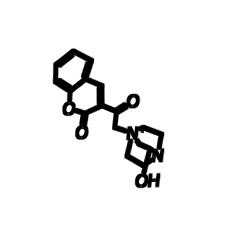 O=C(C[N+]12CCN(CC1)C(O)C2)c1cc2ccccc2oc1=O